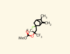 C=C1C(C)C2CC1C(F)(CC(OC(=O)OC)(C(F)(F)F)C(F)(F)F)C2